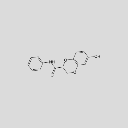 O=C(Nc1ccccc1)C1COc2cc(O)ccc2O1